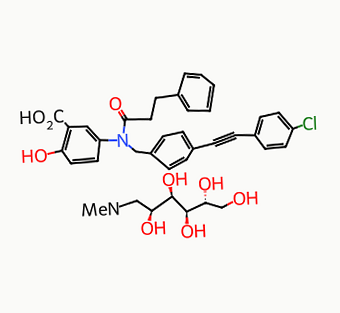 CNC[C@H](O)[C@@H](O)[C@H](O)[C@H](O)CO.O=C(O)c1cc(N(Cc2ccc(C#Cc3ccc(Cl)cc3)cc2)C(=O)CCc2ccccc2)ccc1O